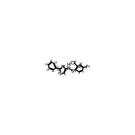 Fc1ccc(SNc2csc(-c3ccccc3)n2)c(Cl)c1